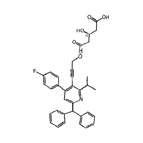 CC(C)c1nc(C(c2ccccc2)c2ccccc2)cc(-c2ccc(F)cc2)c1C#CCO[PH](=O)C[C@@H](O)CC(=O)O